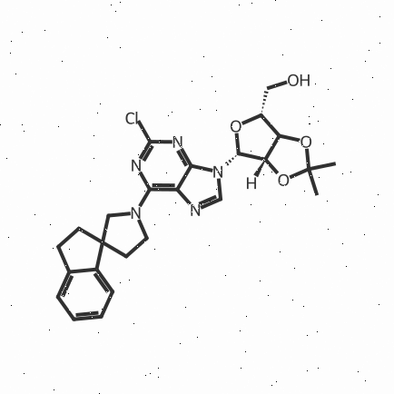 CC1(C)OC2[C@@H](CO)O[C@@H](n3cnc4c(N5CCC6(CCc7ccccc76)C5)nc(Cl)nc43)[C@H]2O1